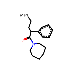 CNCCC(C(=O)N1CCCCCC1)c1ccccc1